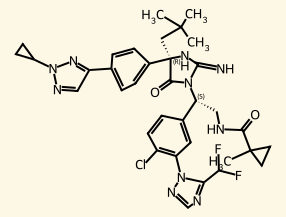 CC(C)(C)C[C@]1(c2ccc(-c3cnn(C4CC4)n3)cc2)NC(=N)N([C@H](CNC(=O)C2(C)CC2)c2ccc(Cl)c(-n3ncnc3C(F)F)c2)C1=O